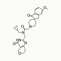 COc1ccc2c(c1)CC1(CCN(CC(=O)N(Cc3nc4c(c(=O)[nH]3)COCC4)CC3CC3)CC1)C2=O